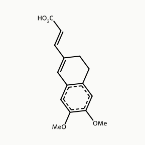 COc1cc2c(cc1OC)CCC(C=CC(=O)O)=C2